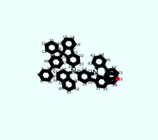 c1ccc(-c2ccc(C3(c4ccccc4)c4ccccc4-c4ccc(N(c5ccc6c7ccc8ccccc8c7n(-c7ccccc7-c7ccccc7)c6c5)c5cccc6ccccc56)cc43)cc2)cc1